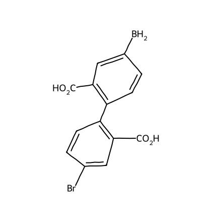 Bc1ccc(-c2ccc(Br)cc2C(=O)O)c(C(=O)O)c1